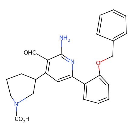 Nc1nc(-c2ccccc2OCc2ccccc2)cc(C2CCCN(C(=O)O)C2)c1C=O